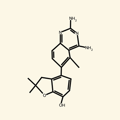 Cc1c(-c2ccc(O)c3c2CC(C)(C)O3)ccc2nc(N)nc(N)c12